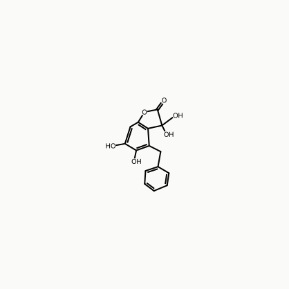 O=C1Oc2cc(O)c(O)c(Cc3ccccc3)c2C1(O)O